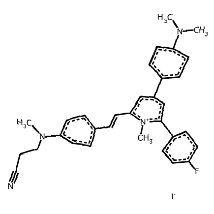 CN(C)c1ccc(-c2cc(/C=C/c3ccc(N(C)CCC#N)cc3)[n+](C)c(-c3ccc(F)cc3)c2)cc1.[I-]